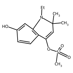 CCN1c2cc(O)ccc2C(OS(C)(=O)=O)=CC1(C)C